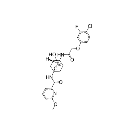 COc1cccc(C(=O)NC23CCC(NC(=O)COc4ccc(Cl)c(F)c4)(CC2)[C@@H](O)C3)n1